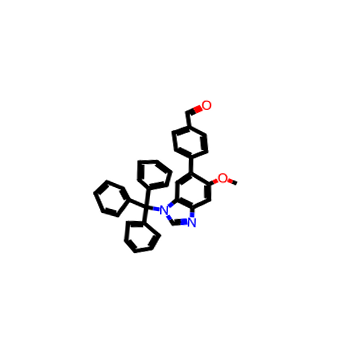 COc1cc2ncn(C(c3ccccc3)(c3ccccc3)c3ccccc3)c2cc1-c1ccc(C=O)cc1